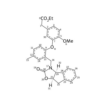 CCOC(=O)Cc1ccc(OC)c(Oc2ccc(C)cc2CN2C(=O)O[C@@H]3Cc4ccccc4[C@@H]32)c1